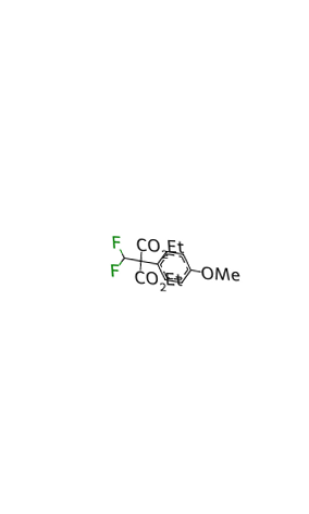 CCOC(=O)C(C(=O)OCC)(c1ccc(OC)cc1)C(F)F